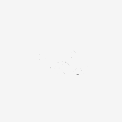 CC(=O)OCOC(=O)[C@H]1[C@@H]2[C@H](O)[C@@H](CSc3ccc(F)c(C)c3)[C@@](N)(C(=O)OCOC(C)=O)[C@H]12